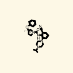 CC(C)N1CCN(c2cccc(C#N)c2NC(=O)N2CC[C@@](C)(Oc3ccccc3)C2)CC1